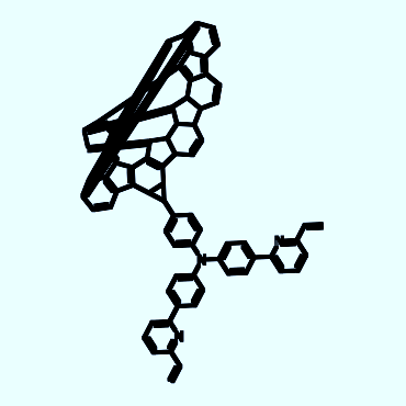 C=Cc1cccc(-c2ccc(N(c3ccc(-c4cccc(C=C)n4)cc3)c3ccc(C4C5C6=c7c8c9c%10c%11c%12c%13c(c%14ccc%15c%16ccc%17c(c7c7c%17c%16c(c%15c%14%12)c%11c97)C54)C=CC4C%13C=%10C5C4C=CC6C85)cc3)cc2)n1